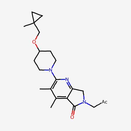 CC(=O)CN1Cc2nc(N3CCC(OCC4(C)CC4)CC3)c(C)c(C)c2C1=O